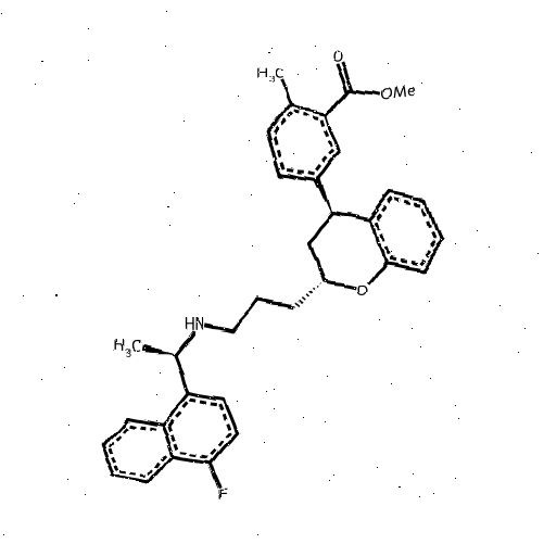 COC(=O)c1cc([C@@H]2C[C@@H](CCCN[C@H](C)c3ccc(F)c4ccccc34)Oc3ccccc32)ccc1C